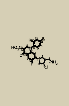 NC[C@@H]1CN(c2cc3c(cc2F)c(=O)c(C(=O)O)cn3-c2ccc(F)cc2F)C[C@@H]1Cl